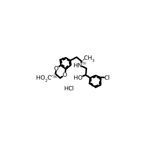 C[C@@H](Cc1ccc2c(c1)OC[C@H](C(=O)O)O2)NCC(O)c1cccc(Cl)c1.Cl